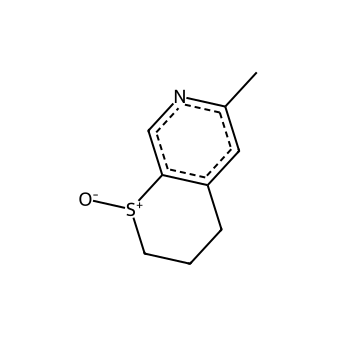 Cc1cc2c(cn1)[S+]([O-])CCC2